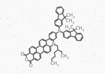 CCCCC(CC)Cn1c2cc(N(c3ccc4c(c3)C(C)(C)c3ccccc3-4)c3ccc4c(c3)C(C)(C)c3ccccc3-4)ccc2c2ccc3c4ccc5c(=O)oc(=O)c6ccc(c7ccc1c2c37)c4c56